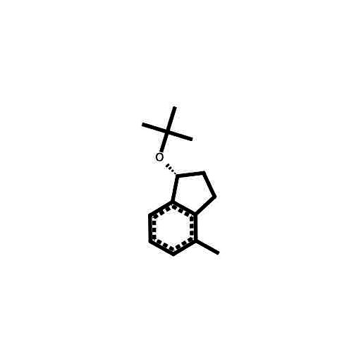 Cc1cccc2c1CC[C@H]2OC(C)(C)C